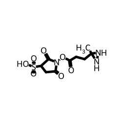 CC1(CCC(=O)ON2C(=O)CC(S(=O)(=O)O)C2=O)NN1